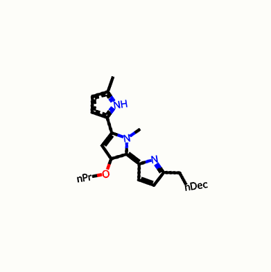 CCCCCCCCCCCC1=NC(=C2C(OCCC)C=C(c3ccc(C)[nH]3)N2C)C=C1